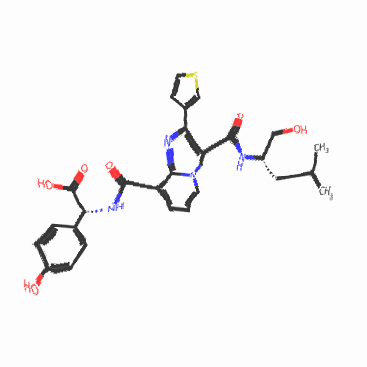 CC(C)C[C@@H](CO)NC(=O)c1c(-c2ccsc2)nc2c(C(=O)N[C@@H](C(=O)O)c3ccc(O)cc3)cccn12